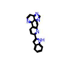 C1=CC2=NC=NC23C=Cc2nc(-c4cc5ccccc5[nH]4)ccc2C3=N1